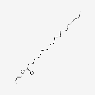 [CH2]CCOC(=O)CCCCCCCCCCCCCCCCC